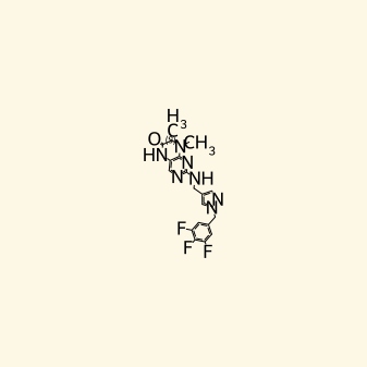 C[C@H]1C(=O)Nc2cnc(NCc3cnn(Cc4cc(F)c(F)c(F)c4)c3)nc2N1C